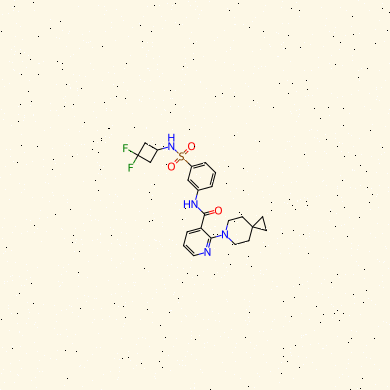 O=C(Nc1cccc(S(=O)(=O)NC2CC(F)(F)C2)c1)c1cccnc1N1CCC2(CC1)CC2